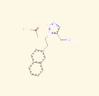 NCc1cnnn1[C@@H](CC(=O)O)Cc1ccc2ccccc2c1